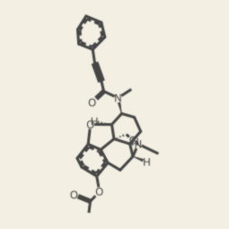 CC(=O)Oc1ccc2c3c1C[C@@H]1[C@@H]4CC[C@H](N(C)C(=O)C#Cc5ccccc5)[C@H](O2)[C@]34CCN1C